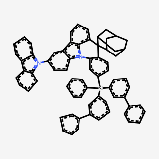 c1ccc(-c2cccc([Si](c3ccccc3)(c3cccc(-c4ccccc4)c3)c3ccc4c(c3)-n3c5ccc(-n6c7ccccc7c7ccccc76)cc5c5cccc(c53)C43C4CC5CC(C4)CC3C5)c2)cc1